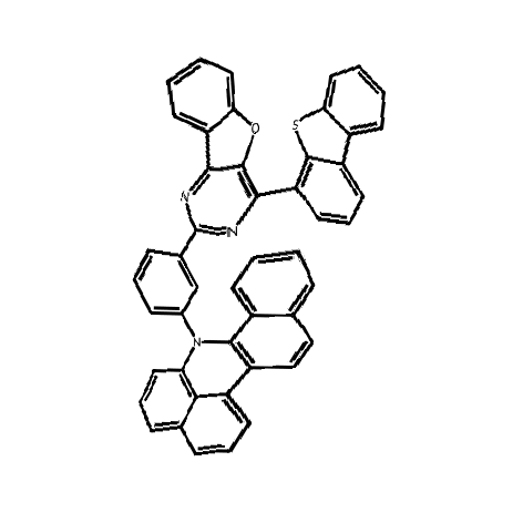 c1cc(-c2nc(-c3cccc4c3sc3ccccc34)c3oc4ccccc4c3n2)cc(N2c3c(ccc4ccccc34)-c3cccc4cccc2c34)c1